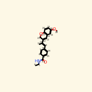 CCNC(=O)c1ccc(C=C(C)C2=Cc3cc(OC)ccc3OC2)cc1